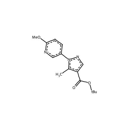 COc1ccc(-n2ncc(C(=O)OC(C)(C)C)c2C)cn1